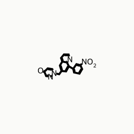 O=c1ccn(Cc2cc(-c3cccc([N+](=O)[O-])c3)c3ncccc3c2)nc1